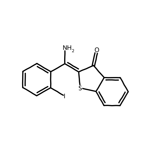 NC(=C1Sc2ccccc2C1=O)c1ccccc1I